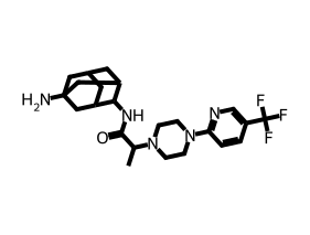 CC(C(=O)NC1C2CC3CC1CC(N)(C3)C2)N1CCN(c2ccc(C(F)(F)F)cn2)CC1